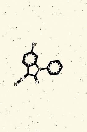 [N-]=[N+]=C1C(=O)N(c2ccccc2)c2cc(Br)ccc21